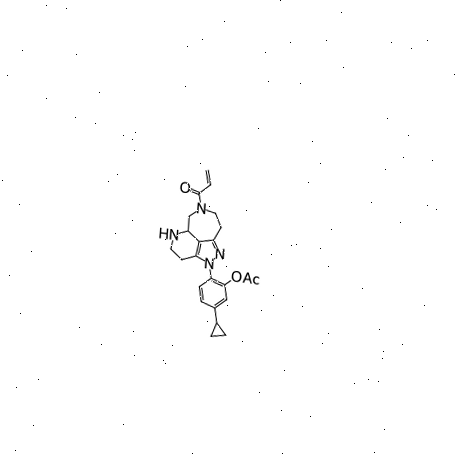 C=CC(=O)N1CCc2nn(-c3ccc(C4CC4)cc3OC(C)=O)c3c2C(C1)NCC3